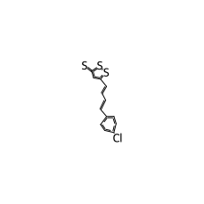 S=c1cc(/C=C/C=C/c2ccc(Cl)cc2)ss1